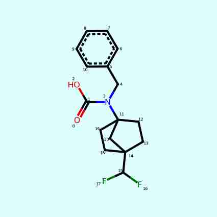 O=C(O)N(Cc1ccccc1)C12CCC(C(F)F)(CC1)C2